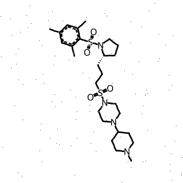 Cc1cc(C)c(S(=O)(=O)N2CCC[C@@H]2CCCS(=O)(=O)N2CCN(C3CCN(C)CC3)CC2)c(C)c1